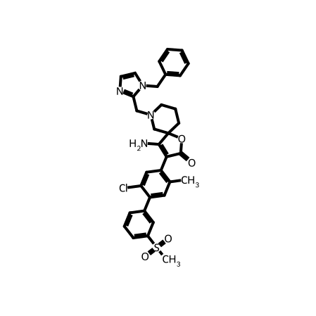 Cc1cc(-c2cccc(S(C)(=O)=O)c2)c(Cl)cc1C1=C(N)C2(CCCN(Cc3nccn3Cc3ccccc3)C2)OC1=O